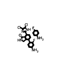 Nc1ccc(-c2ccc(-c3nc(Cl)c(Cl)[nH]3)c3c2CNC3=O)c(F)c1.Nc1ccc(F)cc1